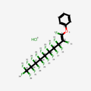 Cl.FC(Oc1ccccc1)=C(F)C(F)(F)C(F)(F)C(F)(F)C(F)(F)C(F)(F)C(F)(F)C(F)(F)C(F)(F)F